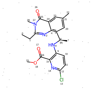 CCc1nc2c([C@@H](C)Nc3ccc(Cl)nc3C(=O)OC)cc(C)cc2c(=O)n1C